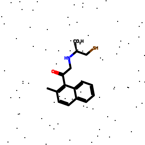 Cc1ccc2ccccc2c1C(=O)CN[C@H](CS)C(=O)O